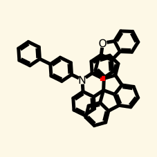 c1ccc(-c2ccc(N(c3ccc4c(c3)oc3ccccc34)c3ccccc3C34c5ccccc5-c5cccc(c53)-c3ccccc34)cc2)cc1